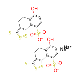 O=S(=O)([O-])c1ccc(O)c2c1-c1ssc(=S)c1CC2.O=S(=O)([O-])c1ccc(O)c2c1-c1ssc(=S)c1CC2.[Na+].[Na+]